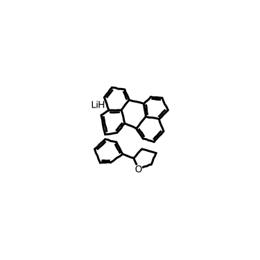 [LiH].c1cc2cccc3c4cccc5cccc(c(c1)c23)c54.c1ccc(C2CCCO2)cc1